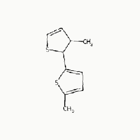 Cc1ccc(C2SC=CC2C)s1